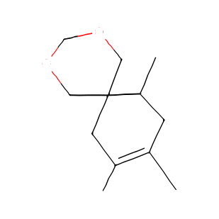 CC1=C(C)CC2(COCOC2)C(C)C1